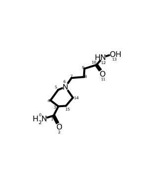 NC(=O)C1CCN(CCCC(=O)NO)CC1